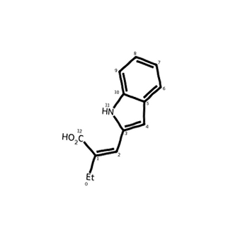 CCC(=Cc1cc2ccccc2[nH]1)C(=O)O